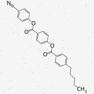 CCCCCc1ccc(C(=O)Oc2ccc(C(=O)Oc3ccc(C#N)cc3)cc2)cc1